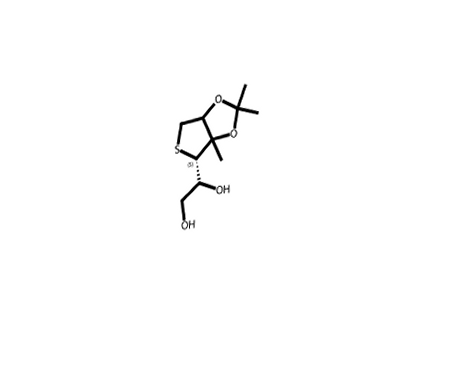 CC1(C)OC2CS[C@@H](C(O)CO)C2(C)O1